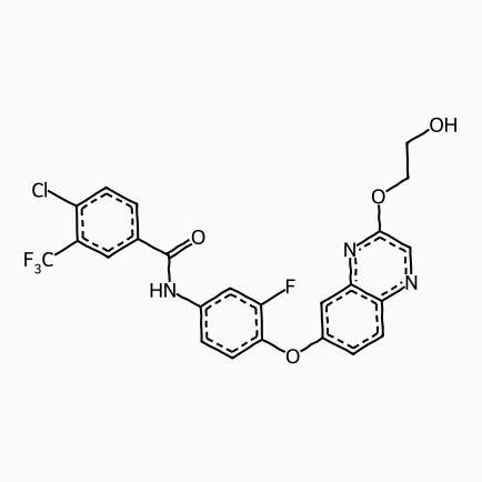 O=C(Nc1ccc(Oc2ccc3ncc(OCCO)nc3c2)c(F)c1)c1ccc(Cl)c(C(F)(F)F)c1